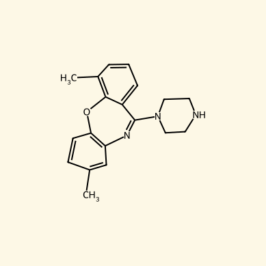 Cc1ccc2c(c1)N=C(N1CCNCC1)c1cccc(C)c1O2